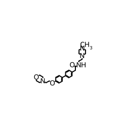 CN1CCN(CCNC(=O)Cc2ccc(-c3ccc(OCCN4CCOCC4)cc3)cc2)CC1